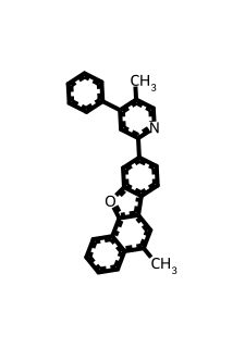 Cc1cnc(-c2ccc3c(c2)oc2c4ccccc4c(C)cc32)cc1-c1ccccc1